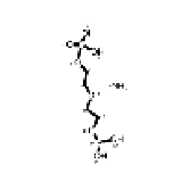 N.O=P(O)(O)OCCOCCOB(O)O